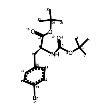 CC(C)(C)OC(=O)N[C@@H](Cc1ccc(Br)cc1)C(=O)OC(C)(C)C